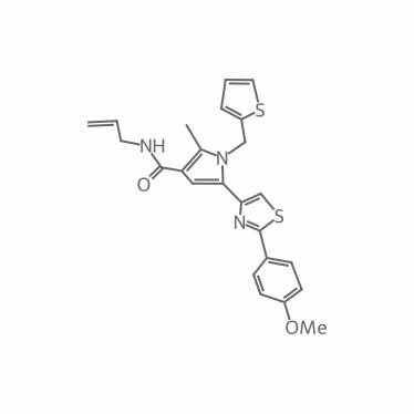 C=CCNC(=O)c1cc(-c2csc(-c3ccc(OC)cc3)n2)n(Cc2cccs2)c1C